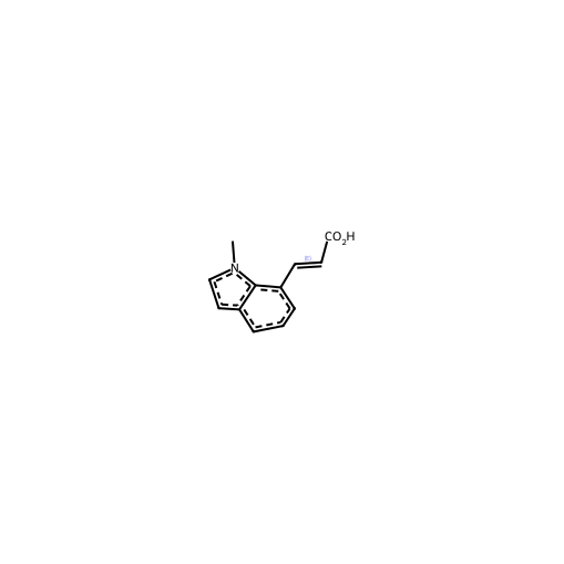 Cn1ccc2cccc(/C=C/C(=O)O)c21